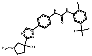 CN1CCC(O)(c2ncc(-c3ccc(NC(=O)Nc4cc(C(F)(F)F)ccc4F)cc3)s2)C1